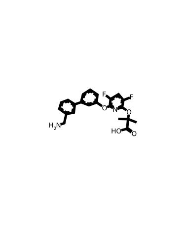 CC(C)(Oc1nc(Oc2cccc(-c3cccc(CN)c3)c2)c(F)cc1F)C(=O)O